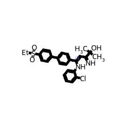 CCS(=O)(=O)c1ccc(-c2ccc(/C(=C/C(=N)C(C)(C)O)Nc3ccccc3Cl)cc2)cc1